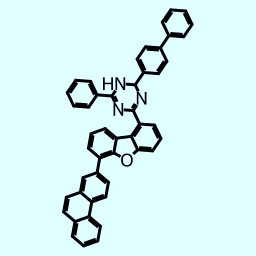 c1ccc(C2=NC(c3cccc4oc5c(-c6ccc7c(ccc8ccccc87)c6)cccc5c34)=NC(c3ccc(-c4ccccc4)cc3)N2)cc1